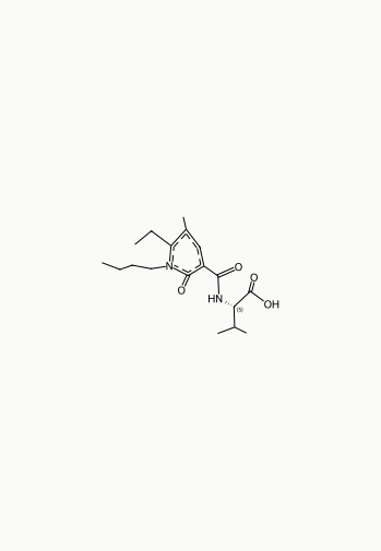 CCCCn1c(CC)c(C)cc(C(=O)N[C@H](C(=O)O)C(C)C)c1=O